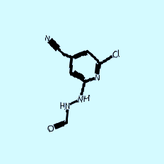 N#Cc1cc(Cl)nc(NNC=O)c1